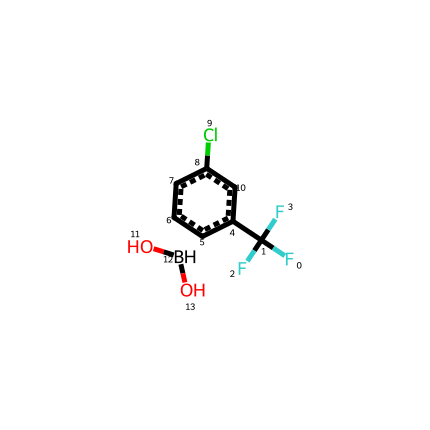 FC(F)(F)c1cccc(Cl)c1.OBO